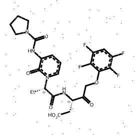 CC[C@@H](C(=O)N[C@@H](CC(=O)O)C(=O)COc1c(F)c(F)cc(F)c1F)n1cccc(NC(=O)N2CCCC2)c1=O